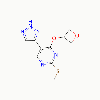 CSc1ncc(-c2cn[nH]n2)c(OC2COC2)n1